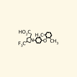 Cc1cccc(C)c1Oc1ccc(N2CC(C(F)(F)F)CC2CC(=O)O)cc1